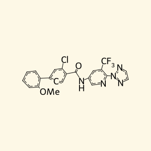 COc1ccccc1-c1ccc(C(=O)Nc2cnc(-n3nccn3)c(C(F)(F)F)c2)c(Cl)c1